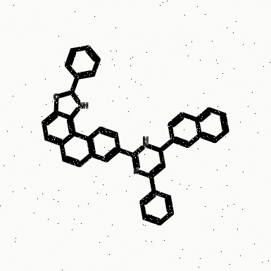 C1=C(c2ccccc2)N=C(c2ccc3c(ccc4ccc5c(c43)NC(c3ccccc3)O5)c2)NC1c1ccc2ccccc2c1